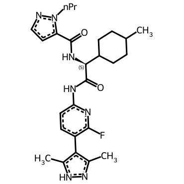 CCCn1nccc1C(=O)N[C@H](C(=O)Nc1ccc(-c2c(C)n[nH]c2C)c(F)n1)C1CCC(C)CC1